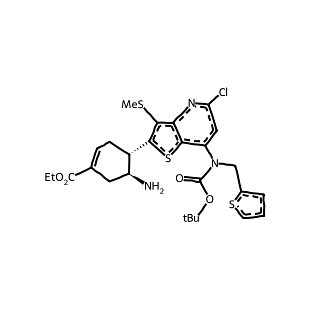 CCOC(=O)C1=CC[C@H](c2sc3c(N(Cc4cccs4)C(=O)OC(C)(C)C)cc(Cl)nc3c2SC)[C@@H](N)C1